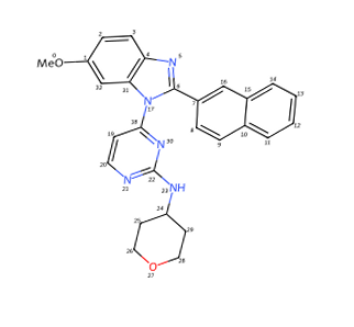 COc1ccc2nc(-c3ccc4ccccc4c3)n(-c3ccnc(NC4CCOCC4)n3)c2c1